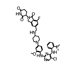 COc1cc(N2CCC(NCc3cc(F)c4c(c3)CN(C3CCC(=O)NC3=O)C4=O)CC2)ccc1Nc1ncc(Cl)c(Nc2ccccc2P(C)C)n1